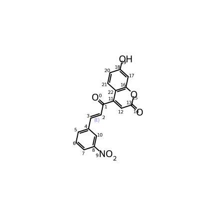 O=C(/C=C/c1cccc([N+](=O)[O-])c1)c1cc(=O)oc2cc(O)ccc12